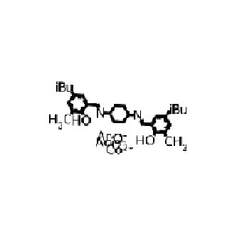 CC(=O)[O-].CC(=O)[O-].CCC(C)c1cc(C)c(O)c(C=NC2CCC(N=Cc3cc(C(C)CC)cc(C)c3O)CC2)c1.[Co+2]